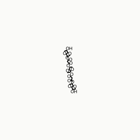 O=C(CC(=O)OC1COC2C(OC(=O)CC(=O)OC3COC4C(O)COC34)COC12)OC1COC2C(O)COC12